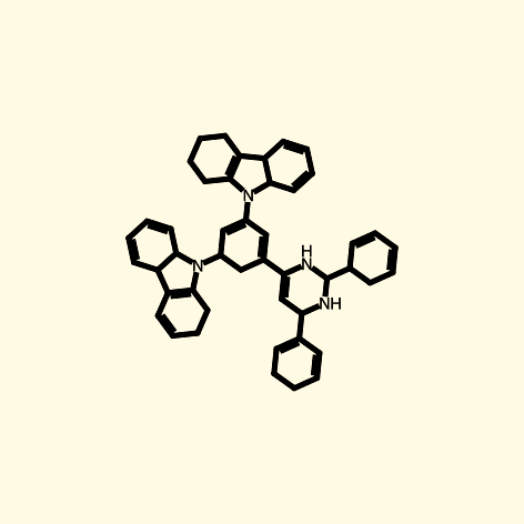 C1=CCC(C2NC(C3=CC(N4C5=C(CCCC5)C5C=CC=CC54)=CC(N4C5=C(C=CCC5)C5C=CC=CC54)C3)=CC(C3=CCCC=C3)N2)C=C1